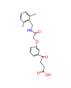 Cc1cccc(C)c1CNC(=O)COc1cccc(C(=O)CCC(=O)O)c1